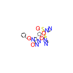 COC[C@H]1C[C@@H](c2cn(COCc3ccccc3)c3c(OC)ncnc23)[C@H](OC(=S)n2ccnc2)[C@@H]1OC(=S)n1ccnc1